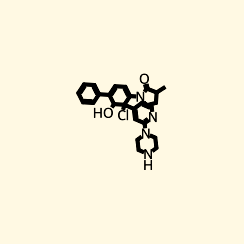 CC1CCN(C2=CC=C(c3ccccc3)C(O)C2(Cl)c2ccnc(N3CCNCC3)c2)C1=O